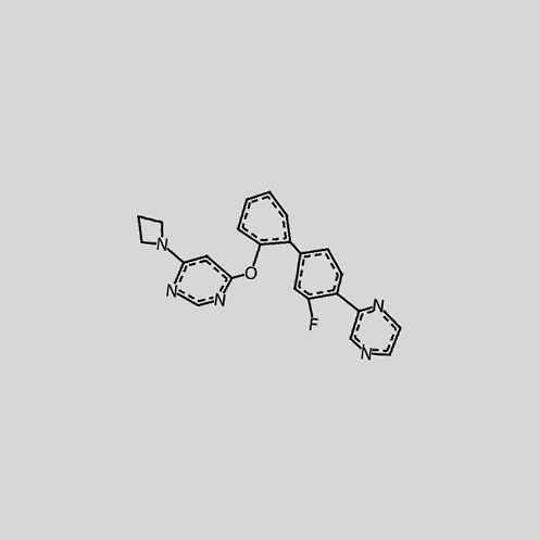 Fc1cc(-c2ccccc2Oc2cc(N3CCC3)ncn2)ccc1-c1cnccn1